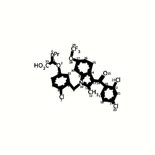 CCCC(Oc1ccc(Cl)c(Cn2c(C)c(C(=O)c3ccc(Cl)cc3Cl)c3ccc(OC(F)(F)F)cc32)c1)C(=O)O